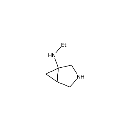 CCNC12CNCC1C2